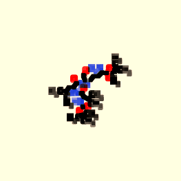 CC(C)C[C@H](NC(=O)[C@H](NC(=O)OC(C)(C)C)C(C)C)C(=O)N[C@H]([C]=O)CCCC(N)C(=O)OC(C)(C)C